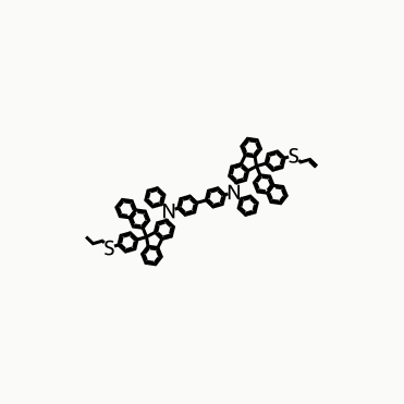 C=CCSc1ccc(C2(c3ccc4ccccc4c3)c3ccccc3-c3ccc(N(c4ccccc4)c4ccc(-c5ccc(N(c6ccccc6)c6ccc7c(c6)C(c6ccc(SCCC)cc6)(c6ccc8ccccc8c6)c6ccccc6-7)cc5)cc4)cc32)cc1